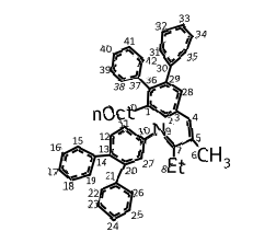 CCCCCCCCc1cc(C=C(C)C(CC)=Nc2ccc(-c3ccccc3)c(-c3ccccc3)c2)cc(-c2ccccc2)c1-c1ccccc1